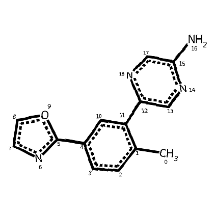 Cc1ccc(-c2ncco2)cc1-c1cnc(N)cn1